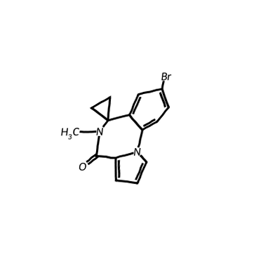 CN1C(=O)c2cccn2-c2ccc(Br)cc2C12CC2